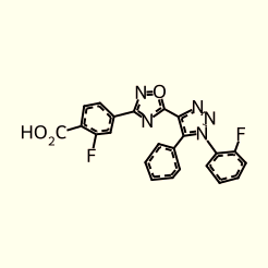 O=C(O)c1ccc(-c2noc(-c3nnn(-c4ccccc4F)c3-c3ccccc3)n2)cc1F